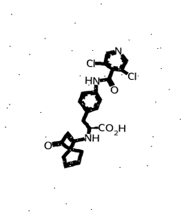 O=C(Nc1ccc(C[C@H](NC2=CC(=O)C23CC=CC3)C(=O)O)cc1)c1c(Cl)cncc1Cl